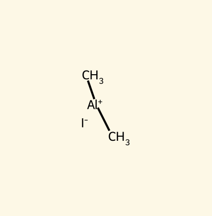 [CH3][Al+][CH3].[I-]